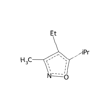 CCc1c(C)noc1C(C)C